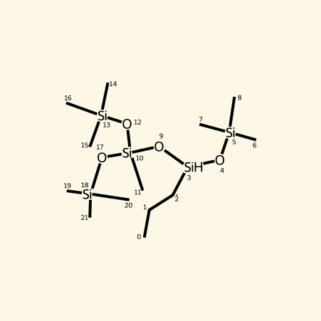 CC[CH][SiH](O[Si](C)(C)C)O[Si](C)(O[Si](C)(C)C)O[Si](C)(C)C